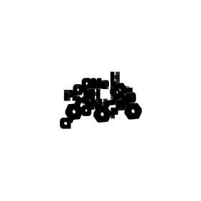 COC(=O)N[C@H](C(=O)Nc1cccc(F)c1CC[C@H]1CNC[C@@H](C)N1S(=O)(=O)c1ccccc1)C(c1ccc(Cl)cc1)C(C)C